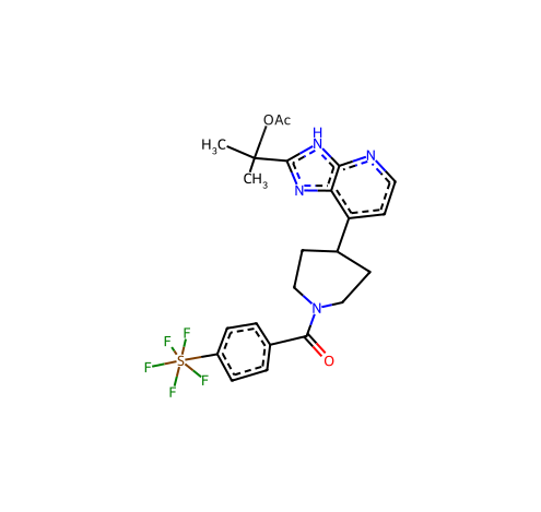 CC(=O)OC(C)(C)c1nc2c(C3CCN(C(=O)c4ccc(S(F)(F)(F)(F)F)cc4)CC3)ccnc2[nH]1